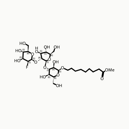 COC(=O)CCCCCCCCO[C@H]1O[C@H](CO)[C@@H](O)[C@H](O[C@@H]2O[C@H](CO)[C@@H](O)[C@H](O)[C@H]2O[C@@H]2O[C@H](CO)[C@@H](O)[C@H](O)[C@@H]2F)[C@H]1O